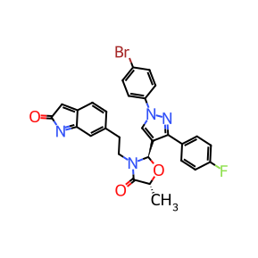 C[C@H]1O[C@H](c2cn(-c3ccc(Br)cc3)nc2-c2ccc(F)cc2)N(CCc2ccc3c(c2)=NC(=O)C=3)C1=O